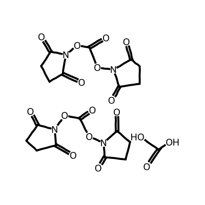 O=C(O)O.O=C(ON1C(=O)CCC1=O)ON1C(=O)CCC1=O.O=C(ON1C(=O)CCC1=O)ON1C(=O)CCC1=O